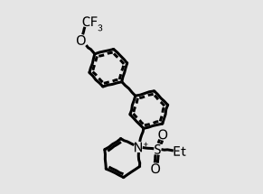 CCS(=O)(=O)[N+]1(c2cccc(-c3ccc(OC(F)(F)F)cc3)c2)C=CC=CC1